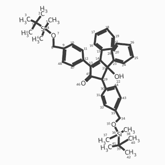 CC(C)(C)[Si](C)(C)OCc1ccc(C2=C(c3ccccc3)C(O)(c3ccccc3)C(c3ccc(CO[Si](C)(C)C(C)(C)C)cc3)C2=O)cc1